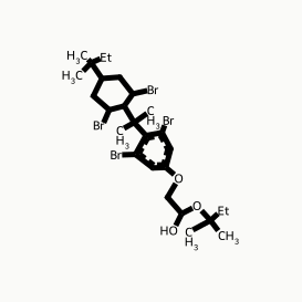 CCC(C)(C)OC(O)COc1cc(Br)c(C(C)(C)C2C(Br)CC(C(C)(C)CC)CC2Br)c(Br)c1